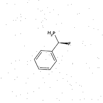 F[C@H](P)c1ccccc1